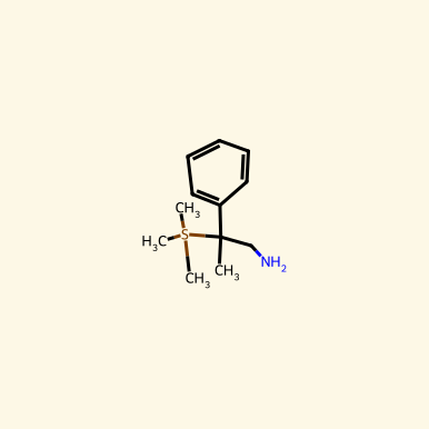 CC(CN)(c1ccccc1)S(C)(C)C